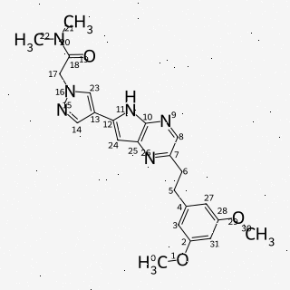 COc1cc(CCc2cnc3[nH]c(-c4cnn(CC(=O)N(C)C)c4)cc3n2)cc(OC)c1